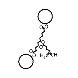 CN(C)CCCC(=O)OC(CCCCC(=O)OC1CCCCCCCCCCCCCC1)CCCCC(=O)OC1CCCCCCCCCCCCCC1